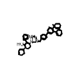 CC1(c2ccc(-c3ccc(CN(CNC4=C(c5ccccc5)C(O)=C(C5=CC=CCC5)CC4)N=N)cc3)cc2-c2ccccc2)C=CCCC1